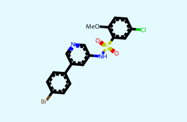 COc1ccc(Cl)cc1S(=O)(=O)Nc1cncc(-c2ccc(Br)cc2)c1